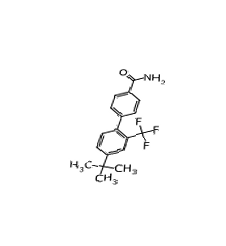 CC(C)(C)c1ccc(-c2ccc(C(N)=O)cc2)c(C(F)(F)F)c1